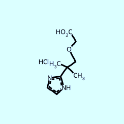 CC(C)(COCC(=O)O)c1ncc[nH]1.Cl